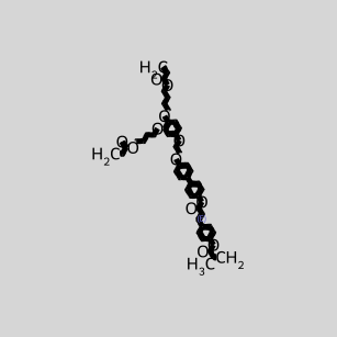 C=CC(=O)OCCCCOc1ccc(OCCOc2ccc(-c3ccc(OC(=O)/C=C/c4ccc(OC(=O)C(=C)C)cc4)cc3)cc2)cc1OCCCCOC(=O)C=C